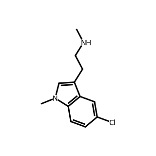 CNCCc1cn(C)c2ccc(Cl)cc12